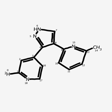 [2H]c1cc(-c2n[nH]cc2-c2cccc(C)n2)ccn1